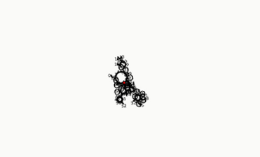 CC[C@H]1CCC[C@H](O[C@H]2CC[C@H](N(C)C)C(C)O2)[C@@H](C)C(=O)C2=C[C@H]3[C@@H]4C[C@H](O[C@@H]5OC(C)[C@H](OC)C(OC)C5OC)C[C@H]4C4C=C(c5cccc(C)c5)C(=O)OC4[C@H]3[C@@H]2CC(=O)O1